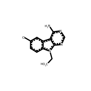 Nc1ncnc2c1c1cc(Cl)ccc1n2CC(=O)O